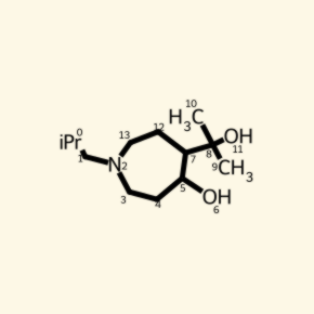 CC(C)CN1CCC(O)C(C(C)(C)O)CC1